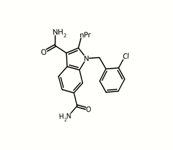 CCCc1c(C(N)=O)c2ccc(C(N)=O)cc2n1Cc1ccccc1Cl